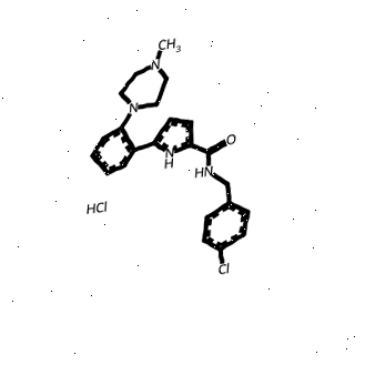 CN1CCN(c2ccccc2-c2ccc(C(=O)NCc3ccc(Cl)cc3)[nH]2)CC1.Cl